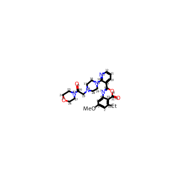 CCc1cc(OC)cc2nc(-c3cccnc3N3CCN(CC(=O)N4CCOCC4)CC3)oc(=O)c12